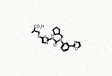 CC(CSc1cnc(NC(=O)N(CC2CCCC2)c2cccc(-c3ncco3)c2)s1)C(=O)O